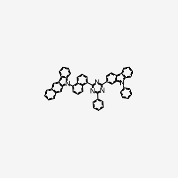 c1ccc(-c2nc(-c3ccc4c5ccccc5n(-c5ccccc5)c4c3)nc(-c3cccc4c(-n5c6ccccc6c6cc7ccccc7cc65)cccc34)n2)cc1